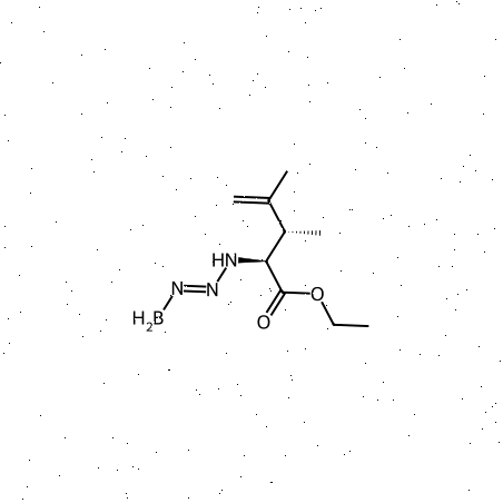 BN=NN[C@H](C(=O)OCC)[C@@H](C)C(=C)C